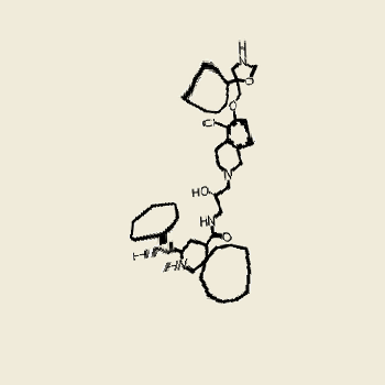 O=C(NC[C@H](O)CN1CCc2c(ccc(OCC3(C4CCCCCCC4)CNCO3)c2Cl)C1)C1CC(NC2CCCCC2)NCC12CCCCCCCCC2